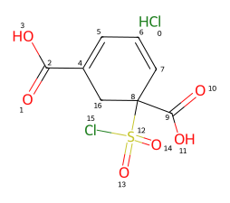 Cl.O=C(O)C1=CC=CC(C(=O)O)(S(=O)(=O)Cl)C1